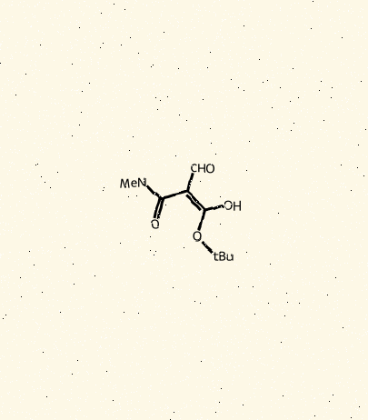 CNC(=O)/C(C=O)=C(/O)OC(C)(C)C